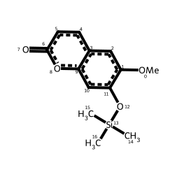 COc1cc2ccc(=O)oc2cc1O[Si](C)(C)C